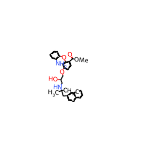 COC(=O)c1ccc(OC[C@H](O)CNC(C)(C)Cc2ccc3ccccc3c2)cc1Oc1ccccc1N